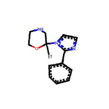 CCC1(n2ccnc2-c2ccccc2)CNCCO1